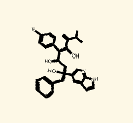 C=C(C(C)C)C(O)C(c1ccc(F)cc1)C(O)CC(O)(Cc1ccccc1)c1cnc2[nH]ccc2c1